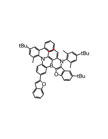 Cc1cc(C(C)(C)C)cc(C)c1N1c2cccc3c2B(c2cc(-c4cc5ccccc5o4)ccc2N3c2c(C)cc(C(C)(C)C)cc2-c2ccccc2)c2oc3ccc(C(C)(C)C)cc3c21